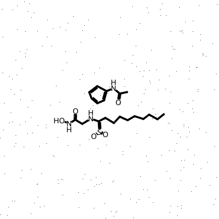 CC(=O)Nc1ccccc1.CCCCCCCCCC(NCC(=O)NO)=S(=O)=O